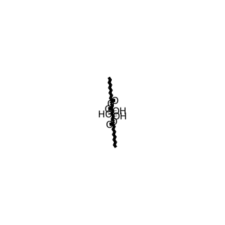 CCCCCCCCCC(=O)OCC(=O)[C@H](O)[C@H](O)[C@H](O)COC(=O)CCCCCCCCC